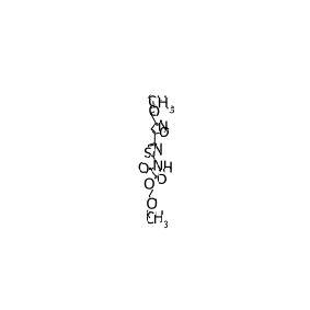 CCOCCOC(=O)C(=O)Nc1nc(-c2cc(COC)no2)cs1